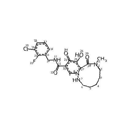 CN1CCCCCNn2cc(C(=O)NCc3cccc(Cl)c3F)c(=O)c(O)c2C1=O